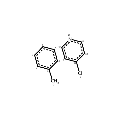 Cc1ccccc1.Clc1ccncc1